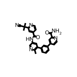 Cc1ncc(NC(=O)c2ccnc(C(C)(C)C#N)c2)cc1-c1cccc(-c2ccnc(C(N)=O)c2)c1